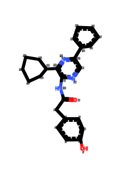 O=C(Cc1ccc(O)cc1)Nc1ncc(-c2ccccc2)nc1C1CCCCC1